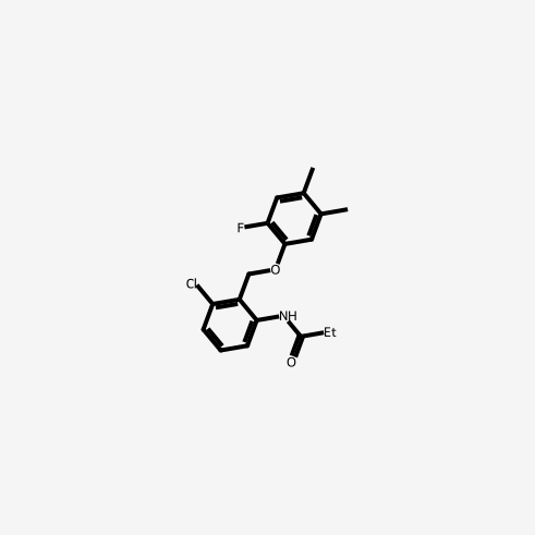 CCC(=O)Nc1cccc(Cl)c1COc1cc(C)c(C)cc1F